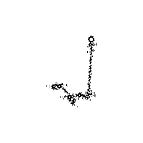 COc1cc2c(cc1OCCCCCOc1cc3c(cc1OC)C(=O)N1C=C(C)C[C@H]1[C@H](O)N3C(=O)OCc1ccc(NC(=O)[C@H](C)NC(=O)[C@@H](NC(=O)CCOCCOCCOCCOCCOCCOCCOCCOCCNC(=O)CCN3C(=O)CC(C4CCCCCCCC4)C3O)C(C)C)cc1)N=C[C@@H]1CC(C)=CN1C2=O